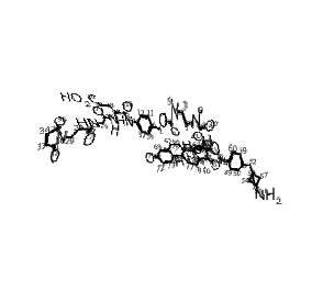 CN(CCN(C)C(=O)OCc1ccc(NC(=O)[C@H](CCC(=O)O)NC(=O)CNC(=O)CCN2C(=O)C=CC2=O)cc1)C(=O)OCC(=O)[C@@]12O[C@H](c3ccc(CC45CC(N)(C4)C5)cc3)O[C@@H]1C[C@H]1[C@@H]3CCC4=CC(=O)C=C[C@]4(C)[C@H]3CC[C@@]12C